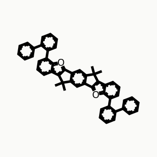 CC1(C)c2cc3c(cc2-c2oc4c(-c5ccccc5-c5ccccc5)cccc4c21)C(C)(C)c1c-3oc2c(-c3ccccc3-c3ccccc3)cccc12